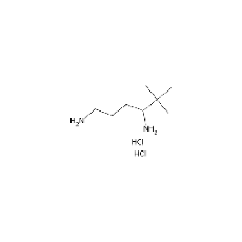 CC(C)(C)C(N)CCCN.Cl.Cl